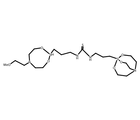 COCCN1CCO[SiH](CCCNC(=S)NCCC[Si]23OCCN(CCO2)CCO3)OCC1